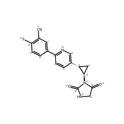 N#Cc1cc(-c2ccc([C@@H]3C[C@H]3N3C(=O)CNC3=O)cn2)ccc1F